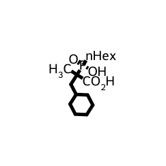 CCCCCCP(=O)(O)C(C)(CC1CCCCC1)C(=O)O